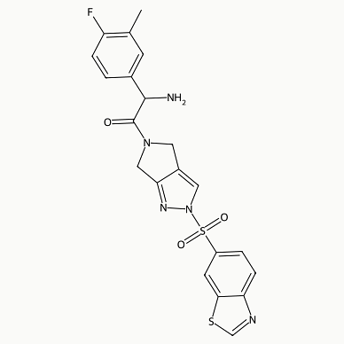 Cc1cc(C(N)C(=O)N2Cc3cn(S(=O)(=O)c4ccc5ncsc5c4)nc3C2)ccc1F